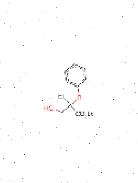 CCOC(=O)C(CC)(CO)Oc1ccccc1